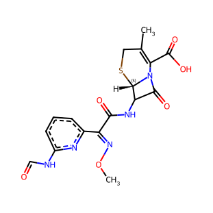 CON=C(C(=O)NC1C(=O)N2C(C(=O)O)=C(C)CS[C@@H]12)c1cccc(NC=O)n1